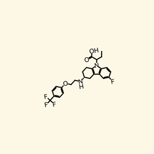 CCC(C(=O)O)n1c2c(c3cc(F)ccc31)C[C@@H](NCCOc1ccc(C(F)(F)F)cc1)CC2